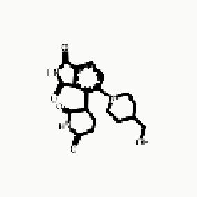 O=C1CCC(c2c(N3CCC(CO)CC3)ccc3c2C(=O)NC3=O)C(=O)N1